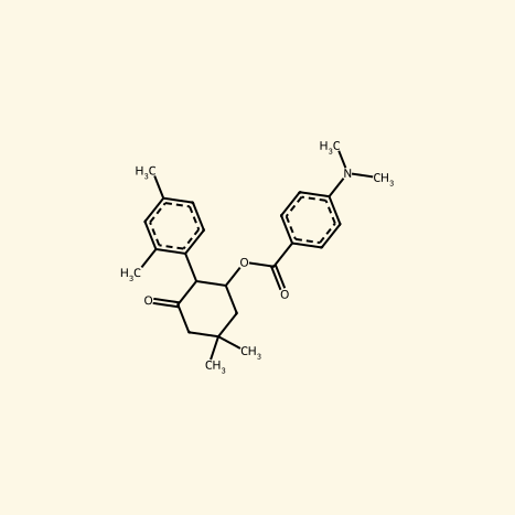 Cc1ccc(C2C(=O)CC(C)(C)CC2OC(=O)c2ccc(N(C)C)cc2)c(C)c1